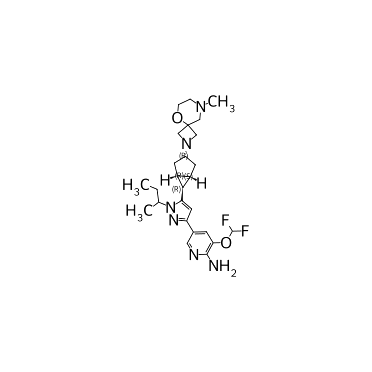 CCC(C)n1nc(-c2cnc(N)c(OC(F)F)c2)cc1[C@H]1[C@@H]2C[C@H](N3CC4(CN(C)CCO4)C3)C[C@@H]21